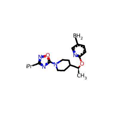 Bc1ccc(O[C@@H](C)C2CCN(c3nc(C(C)C)no3)CC2)nc1